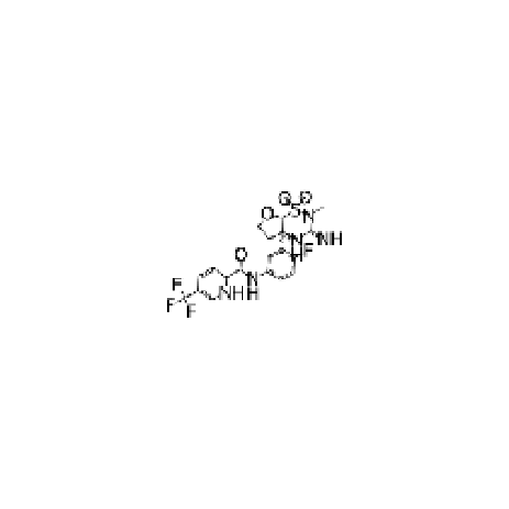 CN1C(=N)N[C@@]2(c3cc(NC(=O)C4C=CC(C(F)(F)F)=CN4)ccc3F)CCOC2S1(=O)=O